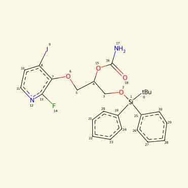 CC(C)(C)[Si](OCC(COc1c(I)ccnc1F)OC(N)=O)(c1ccccc1)c1ccccc1